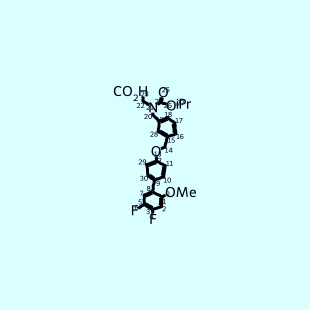 COc1cc(F)c(F)cc1-c1ccc(OCc2cccc(CN(CC(=O)O)C(=O)OC(C)C)c2)cc1